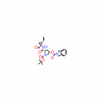 C=C[C@@H]1C[C@@]1(C=O)NC(=O)[C@@H]1C[C@@H](OC(=O)N2Cc3ccccc3C2)CN1C(=O)OC(C)(C)C